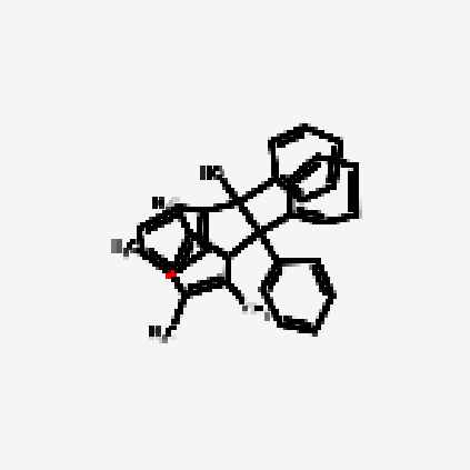 CC1=C(C)C(C(c2ccccc2)(c2ccccc2)C(O)(c2ccccc2)c2ccccc2)C(C)=C1C